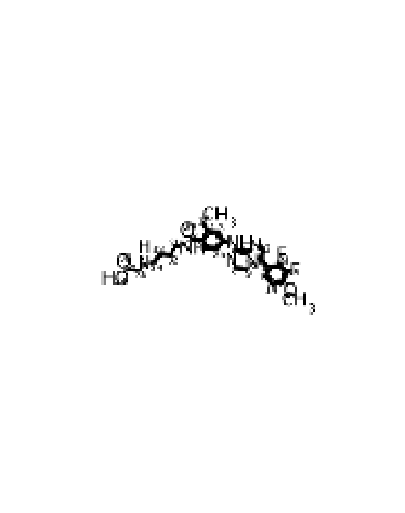 CCc1cc(Nc2nccn3c(-c4ccc(OC)c(F)c4F)cnc23)ccc1C(=O)NCCCCNCC(=O)O